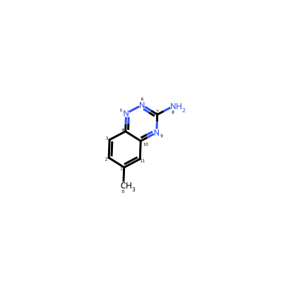 Cc1ccc2nnc(N)nc2c1